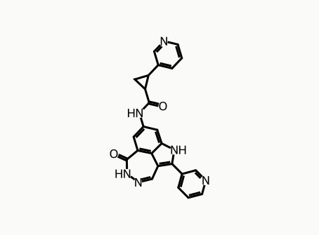 O=C1NN=Cc2c(-c3cccnc3)[nH]c3cc(NC(=O)C4CC4c4cccnc4)cc1c23